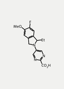 CCC1c2cc(F)c(OC)cc2CN1c1cnc(C(=O)O)nc1